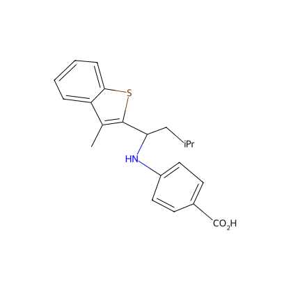 Cc1c(C(CC(C)C)Nc2ccc(C(=O)O)cc2)sc2ccccc12